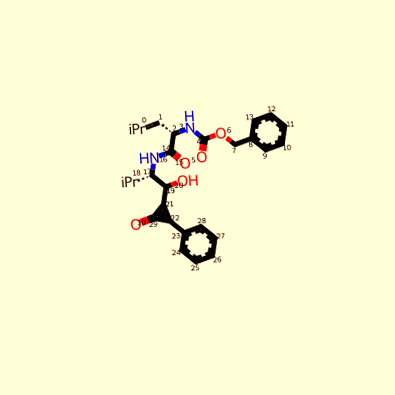 CC(C)C[C@H](NC(=O)OCc1ccccc1)C(=O)N[C@@H](C(C)C)C(O)c1c(-c2ccccc2)c1=O